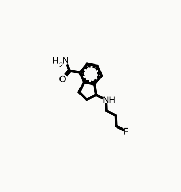 NC(=O)c1cccc2c1CCC2NCCCF